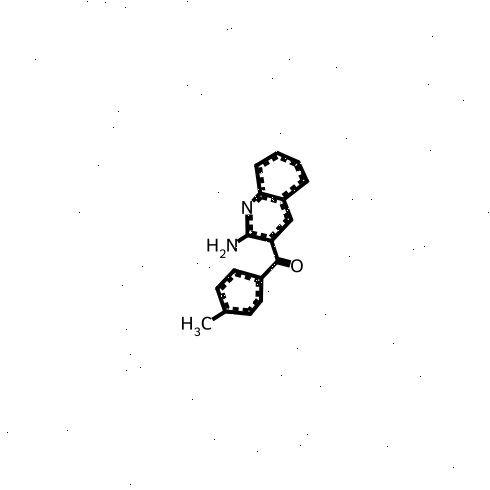 Cc1ccc(C(=O)c2cc3ccccc3nc2N)cc1